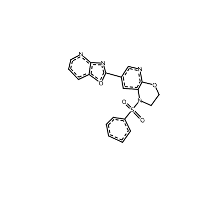 O=S(=O)(c1ccccc1)N1CCOc2ncc(-c3nc4ncccc4o3)cc21